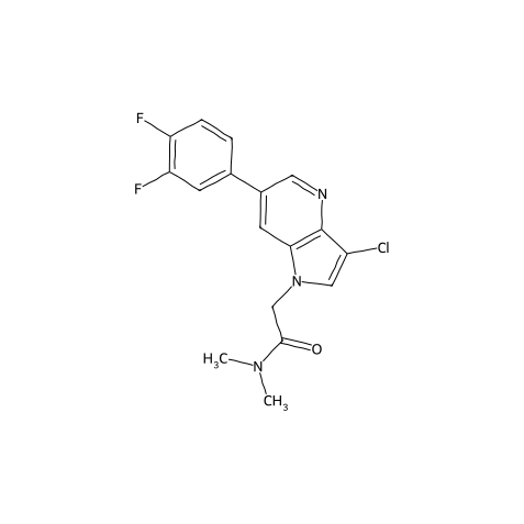 CN(C)C(=O)Cn1cc(Cl)c2ncc(-c3ccc(F)c(F)c3)cc21